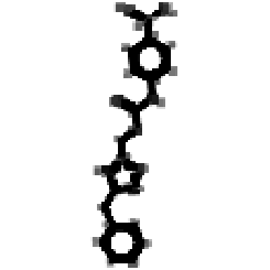 O=C(OCn1nnc(Cc2ccccc2)n1)Oc1ccc([N+](=O)[O-])cc1